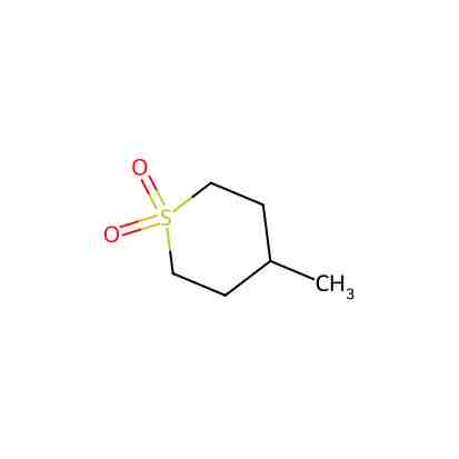 CC1CCS(=O)(=O)CC1